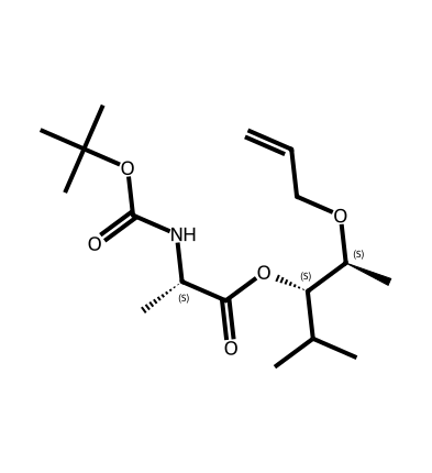 C=CCO[C@@H](C)[C@@H](OC(=O)[C@H](C)NC(=O)OC(C)(C)C)C(C)C